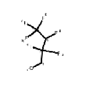 [O]CC(F)(F)C(F)C(F)(F)F